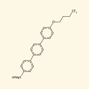 CCCCCCCc1ccc(-c2ccc(-c3ccc(OCCCC(F)(F)F)cc3)cc2)cc1